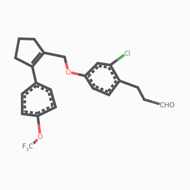 O=CCCc1ccc(OCC2=C(c3ccc(OC(F)(F)F)cc3)CCC2)cc1Cl